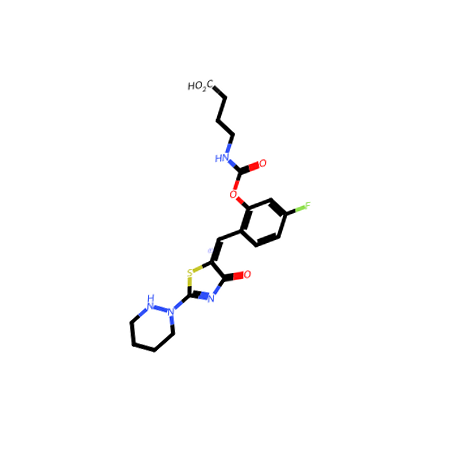 O=C(O)CCCNC(=O)Oc1cc(F)ccc1/C=C1/SC(N2CCCCN2)=NC1=O